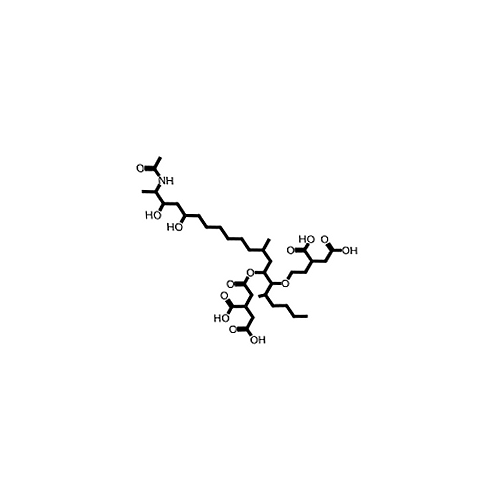 CCCCC(C)C(OCCC(CC(=O)O)C(=O)O)C(CC(C)CCCCCCC(O)CC(O)C(C)NC(C)=O)OC(=O)CC(CC(=O)O)C(=O)O